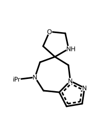 CC(C)N1Cc2ccnn2CC2(COCN2)C1